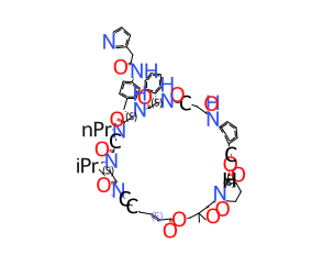 CCCN1CC(=O)N(C)[C@@H](CC(C)C)C(=O)N(C)CCC/C=C/C(=O)OCC(C)(C)C(=O)C(=O)N2CCCC[C@H]2C(=O)OCc2cccc(c2)NC(=O)CCC(=O)N[C@@H](c2ccccc2)C(=O)N[C@@H](Cc2ccc(NC(=O)Cc3cccnc3)cc2)C1=O